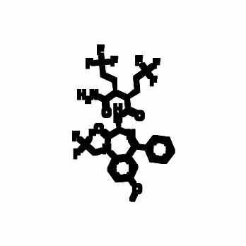 COc1ccc2c(c1)C(c1ccccc1)=N[C@H](NC(=O)[C@H](CCC(F)(F)F)[C@H](CCC(F)(F)F)C(N)=O)C(=O)N2CC(F)(F)F